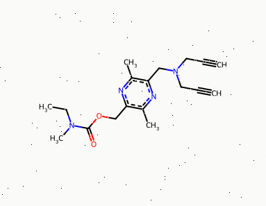 C#CCN(CC#C)Cc1nc(C)c(COC(=O)N(C)CC)nc1C